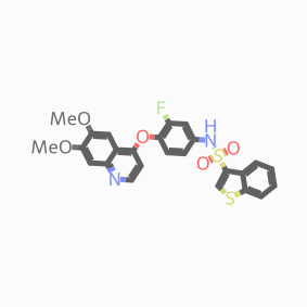 COc1cc2nccc(Oc3ccc(NS(=O)(=O)c4csc5ccccc45)cc3F)c2cc1OC